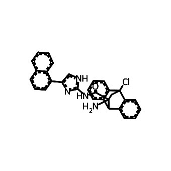 NC1(C(=O)Nc2nc(-c3cccc4ccccc34)c[nH]2)CC2(Cl)c3ccccc3C1c1ccccc12